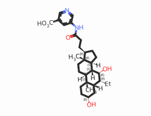 CC[C@H]1[C@@H](O)[C@@H]2[C@H](CC[C@]3(C)[C@@H](CCC(=O)Nc4cncc(C(=O)O)c4)CC[C@@H]23)[C@@]2(C)CC[C@@H](O)C[C@@H]12